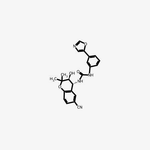 CC1(C)Oc2ccc(C#N)cc2[C@@H](NC(=O)Nc2cccc(-c3cnco3)c2)[C@@H]1O